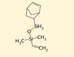 C=C[Si](C)(C)O[SiH2]C1CC2C=CC1C2